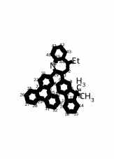 CCC1CC(c2ccc3c(c2)C(C)(C)c2ccccc2-3)=C(c2ccc3c4ccccc4c4ccccc4c3c2)N=C2C=CC=CC21